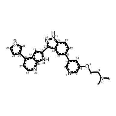 CN(C)CCOc1cncc(-c2ccc3[nH]nc(-c4cc5c(-c6ccoc6)ccnc5[nH]4)c3c2)c1